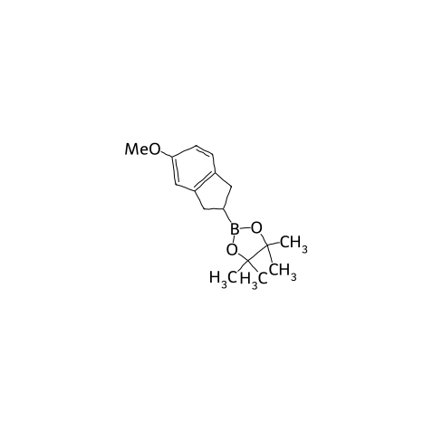 COc1ccc2c(c1)CC(B1OC(C)(C)C(C)(C)O1)C2